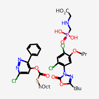 CC(C)Oc1cc(-n2nc(C(C)(C)C)oc2=O)c(Cl)cc1Cl.CCCCCCCCSC(=O)Oc1cc(Cl)nnc1-c1ccccc1.O=C(O)CNCP(=O)(O)O